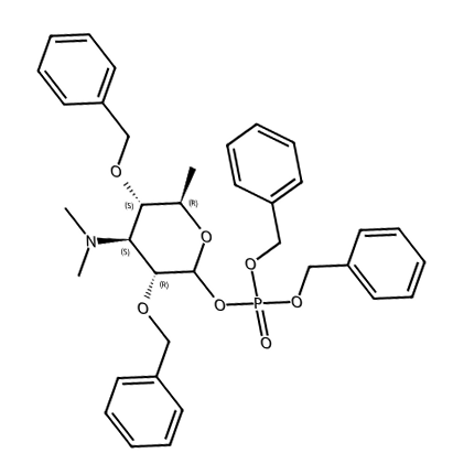 C[C@H]1OC(OP(=O)(OCc2ccccc2)OCc2ccccc2)[C@H](OCc2ccccc2)[C@@H](N(C)C)[C@@H]1OCc1ccccc1